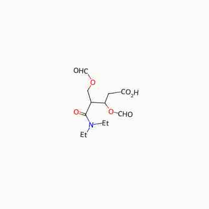 CCN(CC)C(=O)C(COC=O)C(CC(=O)O)OC=O